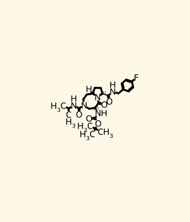 CC(C)NC(=O)N1CC[C@H]2CC[C@@H](C(=O)NCc3ccc(F)cc3)N2C(=O)[C@@H](NC(=O)OC(C)(C)C)C1